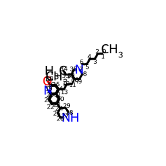 CCCCCCCN1CC[C@@H](CCCc2cc(OC)nc3ccc(C4CCNCC4)cc23)[C@@H](CC)C1